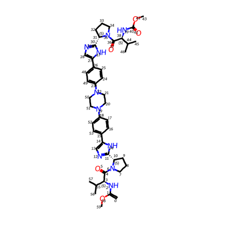 C=C(N[C@H](C(=O)N1CCC[C@H]1c1ncc(-c2ccc(N3CCN(c4ccc(-c5cnc([C@@H]6CCCN6C(=O)[C@@H](NC(=O)OC)C(C)C)[nH]5)cc4)CC3)cc2)[nH]1)C(C)C)OC